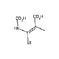 CCC(NC(=O)O)=C(C)C(=O)O